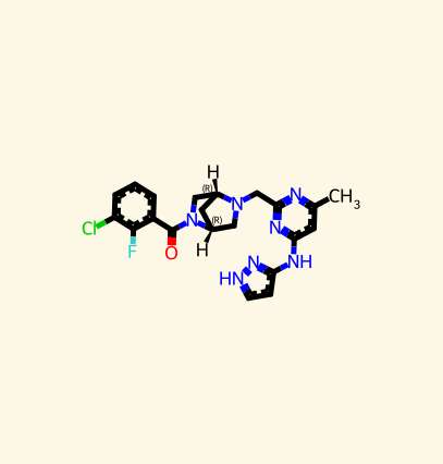 Cc1cc(Nc2cc[nH]n2)nc(CN2C[C@H]3C[C@@H]2CN3C(=O)c2cccc(Cl)c2F)n1